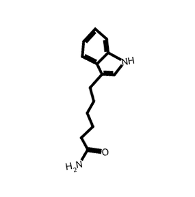 NC(=O)CCCCCc1c[nH]c2ccccc12